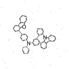 C1=CCC(N(c2ccc(-c3cccc4c3oc3ccccc34)cc2)c2cccc(-c3ccccc3-n3c4ccccc4c4ccccc43)c2)C=C1